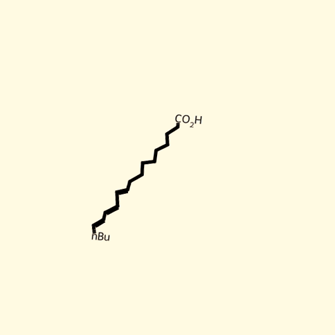 CCCCC=CC=CC=CCCCCCCCCC(=O)O